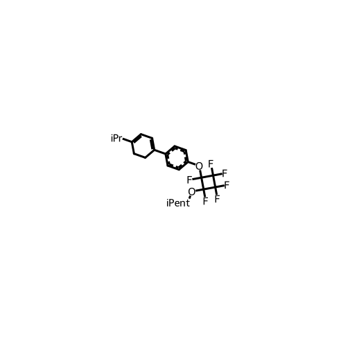 CCCC(C)OC1(F)C(F)(F)C(F)(F)C1(F)Oc1ccc(C2=CC=C(C(C)C)CC2)cc1